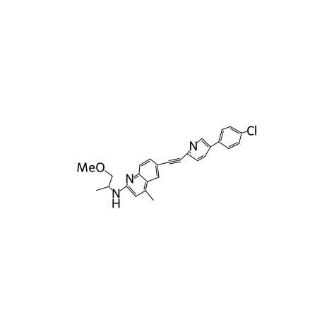 COCC(C)Nc1cc(C)c2cc(C#Cc3ccc(-c4ccc(Cl)cc4)cn3)ccc2n1